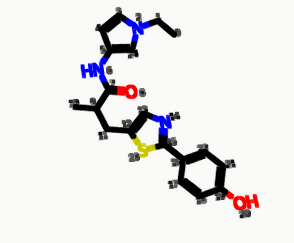 CCn1ccc(NC(=O)C(C)Cc2cnc(-c3ccc(O)cc3)s2)c1